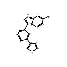 FC(F)(F)c1cnn2c(-c3cccc(-c4ccsc4)c3)cnc2n1